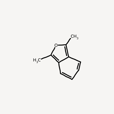 Cc1oc(C)c2ccccc12